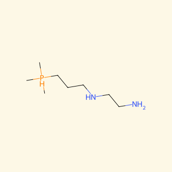 C[PH](C)(C)CCCNCCN